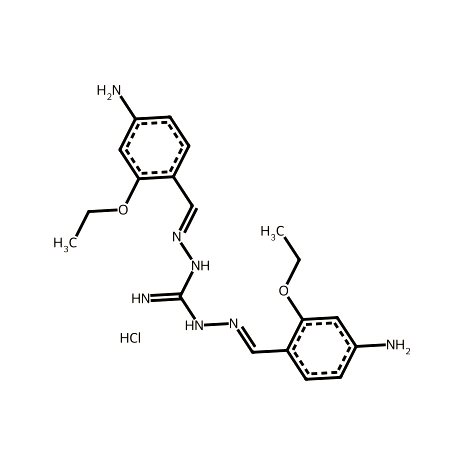 CCOc1cc(N)ccc1/C=N/NC(=N)N/N=C/c1ccc(N)cc1OCC.Cl